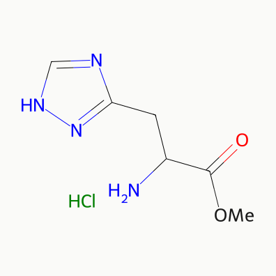 COC(=O)C(N)Cc1nc[nH]n1.Cl